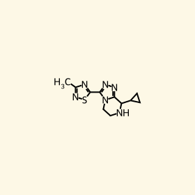 Cc1nsc(-c2nnc3n2CCNC3C2CC2)n1